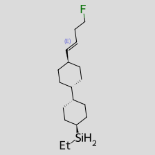 CC[SiH2][C@H]1CC[C@H]([C@H]2CC[C@H](/C=C/CCF)CC2)CC1